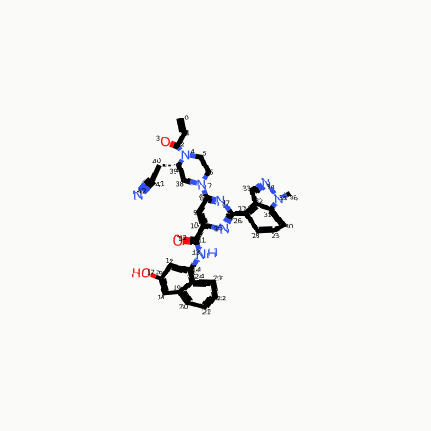 C=CC(=O)N1CCN(c2cc(C(=O)Nc3cc(O)cc4ccccc34)nc(-c3cccc4c3cnn4C)n2)C[C@@H]1CC#N